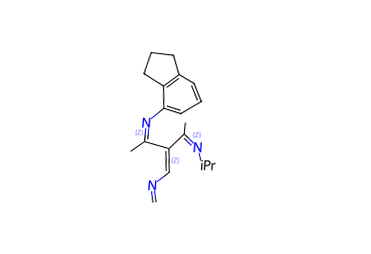 C=N/C=C(C(\C)=N/c1cccc2c1CCC2)/C(C)=N\C(C)C